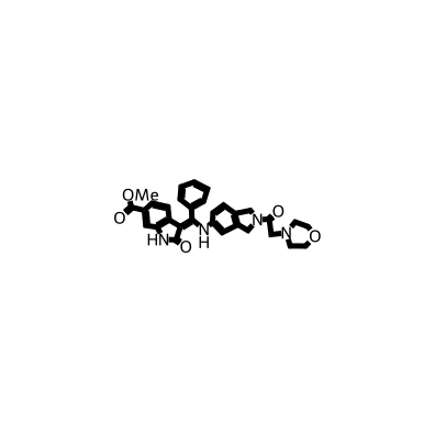 COC(=O)c1ccc2c(c1)NC(=O)/C2=C(\Nc1ccc2c(c1)CN(C(=O)CN1CCOCC1)C2)c1ccccc1